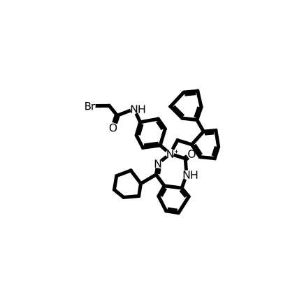 O=C(CBr)Nc1ccc([N+]2(Cc3ccccc3-c3ccccc3)N=C(C3CCCCC3)c3ccccc3NC2=O)cc1